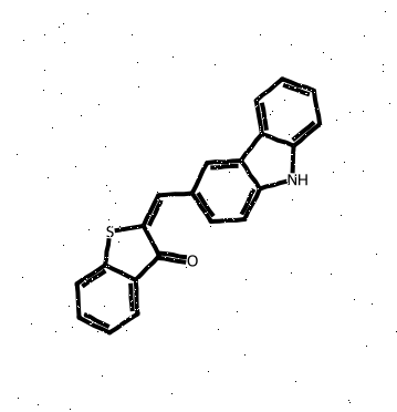 O=C1/C(=C\c2ccc3[nH]c4ccccc4c3c2)Sc2ccccc21